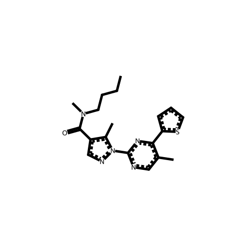 CCCCN(C)C(=O)c1cnn(-c2ncc(C)c(-c3cccs3)n2)c1C